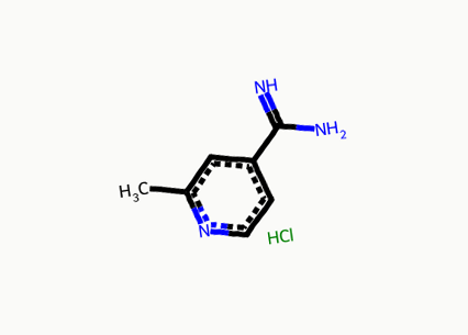 Cc1cc(C(=N)N)ccn1.Cl